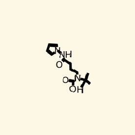 CC(C)(C)N(CCCC(=O)Nn1cccc1)C(=O)O